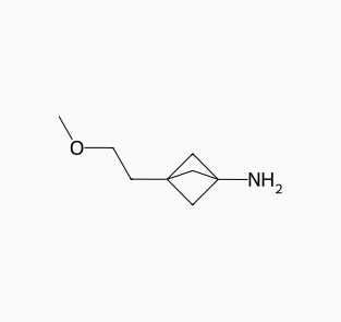 COCCC12CC(N)(C1)C2